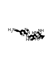 C[C@@]1(c2cc(Nc3ncnc4cc(C#CN)cnc34)ncc2F)CS(=O)(=O)[C@@](C)(C2CC2)C(=N)N1